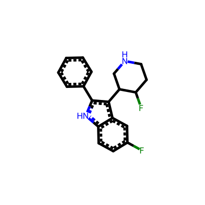 Fc1ccc2[nH]c(-c3ccccc3)c(C3CNCCC3F)c2c1